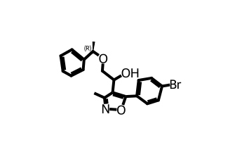 Cc1noc(-c2ccc(Br)cc2)c1C(O)CO[C@H](C)c1ccccc1